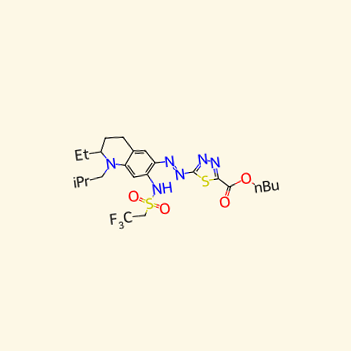 CCCCOC(=O)c1nnc(N=Nc2cc3c(cc2NS(=O)(=O)CC(F)(F)F)N(CC(C)C)C(CC)CC3)s1